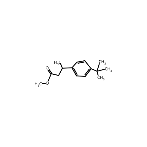 COC(=O)CC(C)c1ccc(C(C)(C)C)cc1